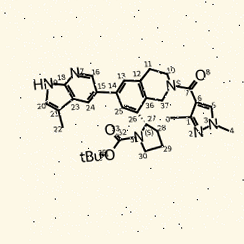 Cc1nn(C)cc1C(=O)N1CCc2cc(-c3cnc4[nH]cc(C)c4c3)cc([C@@H]3CCCN3C(=O)OC(C)(C)C)c2C1